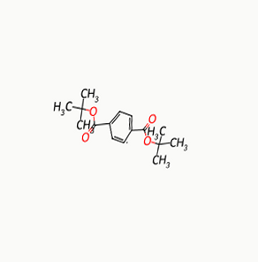 CC(C)(C)OC(=O)c1[c]cc(C(=O)OC(C)(C)C)cc1